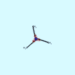 CCCCCCCCCCCCSCC(=O)OCCn1c(=O)n(CCOC(=O)CSCCCCCCCCCCCC)c(=O)n(CCOC(=O)CSCCCCCCCCCCCC)c1=O